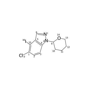 Clc1ccc2c(cnn2C2CCCCO2)c1I